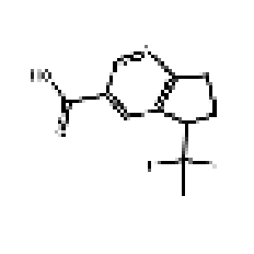 O=C(O)c1cnc2c(c1)C(C(F)(F)F)CC2